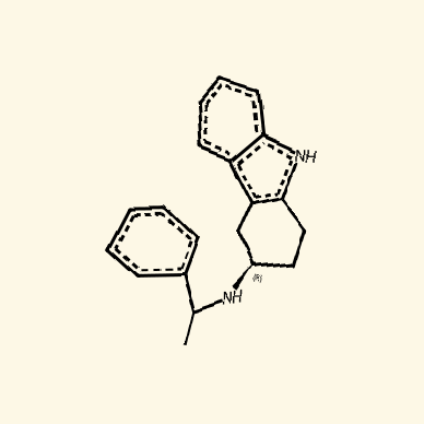 CC(N[C@@H]1CCc2[nH]c3ccccc3c2C1)c1ccccc1